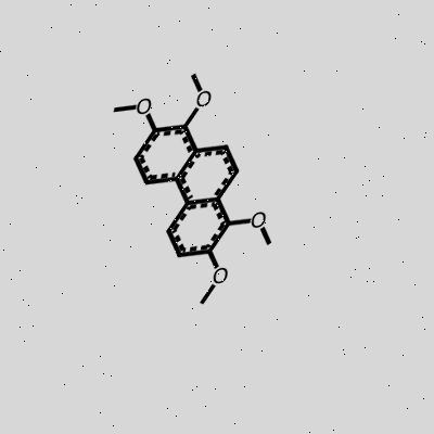 COc1ccc2c(ccc3c(OC)c(OC)ccc32)c1OC